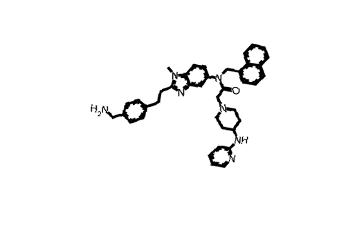 Cn1c(CCc2ccc(CN)cc2)nc2cc(N(Cc3cccc4ccccc34)C(=O)CN3CCC(Nc4ccccn4)CC3)ccc21